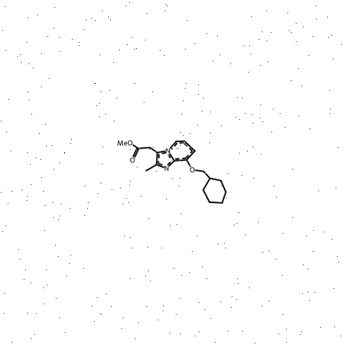 COC(=O)Cc1c(C)nc2c(OCC3CCCCC3)cccn12